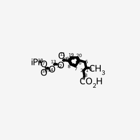 CC(CCC(=O)O)Cc1ccc(C(=O)OCOC(=O)OC(C)C)cc1